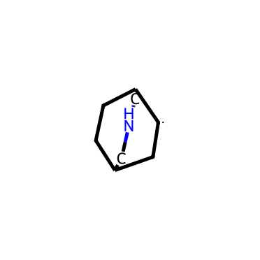 [CH]1CC2CCC1CNC2